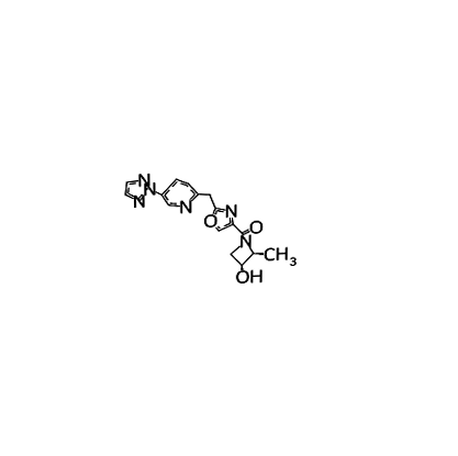 C[C@H]1[C@@H](O)CN1C(=O)c1coc(Cc2ccc(-n3nccn3)cn2)n1